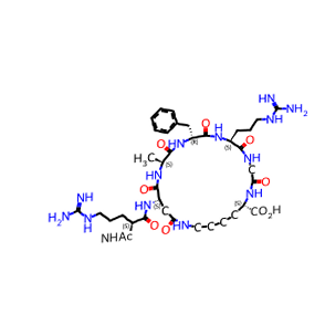 CC(=O)N[C@@H](CCCNC(=N)N)C(=O)N[C@H]1CC(=O)NCCCC[C@@H](C(=O)O)NC(=O)CNC(=O)[C@H](CCCNC(=N)N)NC(=O)[C@@H](Cc2ccccc2)NC(=O)[C@H](C)NC1=O